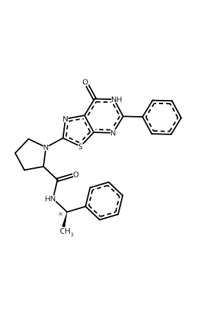 C[C@@H](NC(=O)C1CCCN1c1nc2c(=O)[nH]c(-c3ccccc3)nc2s1)c1ccccc1